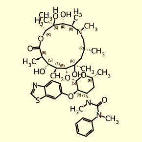 CC[C@H]1OC(=O)[C@H](C)[C@@H](O)[C@H](C)[C@@H](O[C@@H]2O[C@H](C)C[C@H](N(C)C(=O)N(C)c3ccccc3)[C@H]2Oc2ccc3ncsc3c2)[C@](C)(O)C[C@@H](C)CN(C)[C@H](C)[C@@H](O)[C@]1(C)O